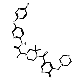 C[C@@H](C(=O)Nc1ccc(Oc2ccc(F)cc2)cn1)N1CCN(C(=O)c2c[nH]c(=O)c(CN3CCOCC3)c2)C(C)(C)C1